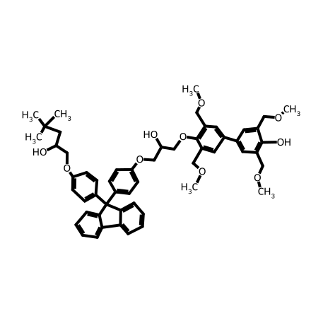 COCc1cc(-c2cc(COC)c(OCC(O)COc3ccc(C4(c5ccc(OCC(O)CC(C)(C)C)cc5)c5ccccc5-c5ccccc54)cc3)c(COC)c2)cc(COC)c1O